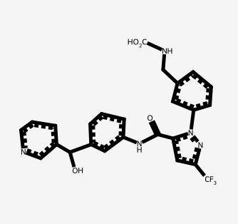 O=C(O)NCc1cccc(-n2nc(C(F)(F)F)cc2C(=O)Nc2cccc(C(O)c3cccnc3)c2)c1